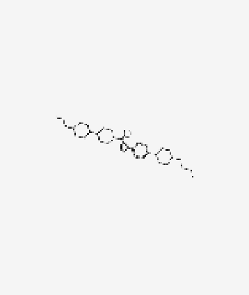 CCCCC1CCC(c2ccc(OC(=O)C3CCC(C4CCC(CCC)CC4)CC3)cc2)CC1